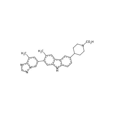 Cc1cc2c(cc1-c1cc(C)c3ncnn3c1)[nH]c1ccc(C3CCN(C(=O)O)CC3)cc12